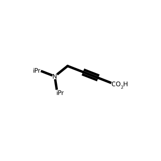 CC(C)N(CC#CC(=O)O)C(C)C